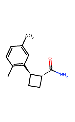 Cc1ccc([N+](=O)[O-])cc1[C@@H]1CC[C@H]1C(N)=O